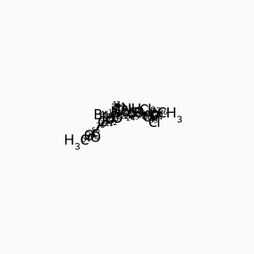 CCOC(=O)CCCCOc1cccc(CN(C(=O)C(CN)Cc2ccc(OCCOc3c(Cl)cc(C)cc3Cl)cc2)C2CC2)c1Br